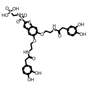 O=C(Cc1ccc(O)c(O)c1)NCCOc1cc2cc(S(=O)(=O)NCP(=O)(O)O)sc2cc1OCCNC(=O)Cc1ccc(O)c(O)c1